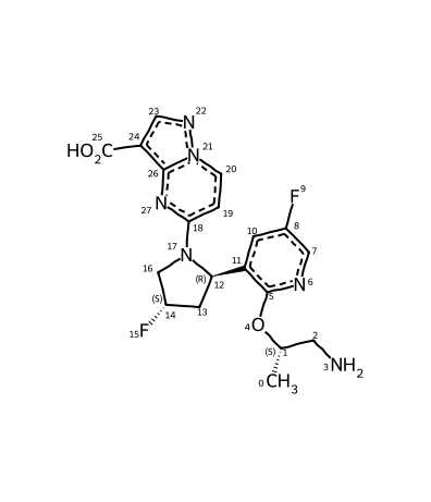 C[C@@H](CN)Oc1ncc(F)cc1[C@H]1C[C@H](F)CN1c1ccn2ncc(C(=O)O)c2n1